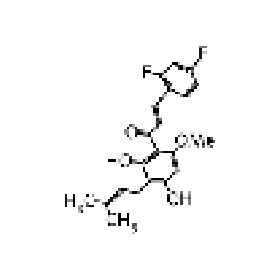 COc1cc(O)c(CC=C(C)C)c(O)c1C(=O)C=Cc1ccc(F)cc1F